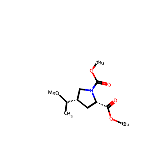 COC(C)[C@H]1C[C@@H](C(=O)OC(C)(C)C)N(C(=O)OC(C)(C)C)C1